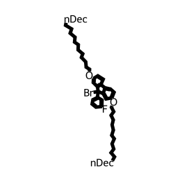 CCCCCCCCCCCCCCCCCCCCCCOc1ccc2c(c1)C(Br)(c1cccc(F)c1)c1cc(OCCCCCCCCCCCCCCCCCCCCCC)ccc1-2